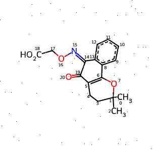 CC1(C)CCC2=C(O1)c1ccccc1C(=NOCC(=O)O)C2=O